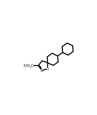 CCOC(=O)C1=NOC2(CCC(C3CCCCC3)CC2)C1